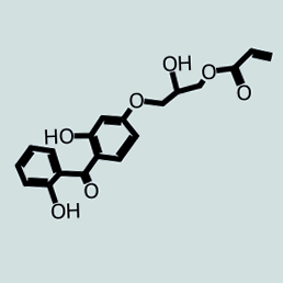 C=CC(=O)OCC(O)COc1ccc(C(=O)c2ccccc2O)c(O)c1